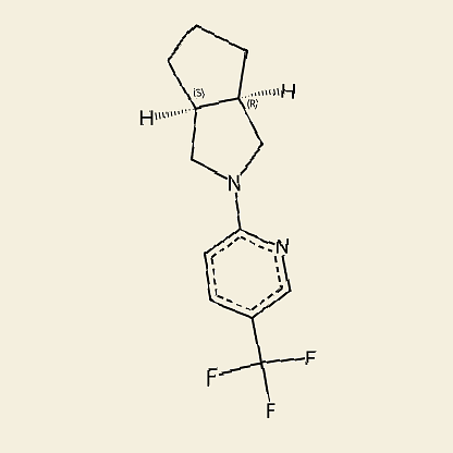 FC(F)(F)c1ccc(N2C[C@H]3CCC[C@H]3C2)nc1